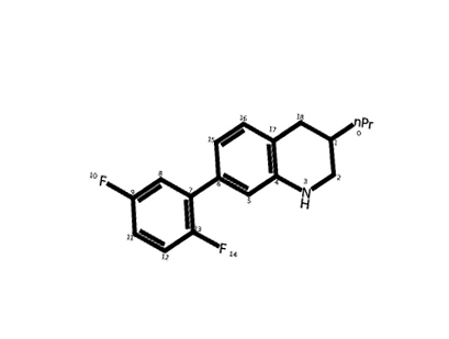 CCCC1CNc2cc(-c3cc(F)ccc3F)ccc2C1